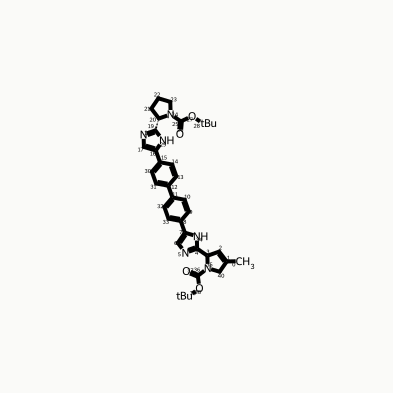 CC1=CC(c2ncc(-c3ccc(-c4ccc(-c5cnc([C@@H]6CCCN6C(=O)OC(C)(C)C)[nH]5)cc4)cc3)[nH]2)N(C(=O)OC(C)(C)C)C1